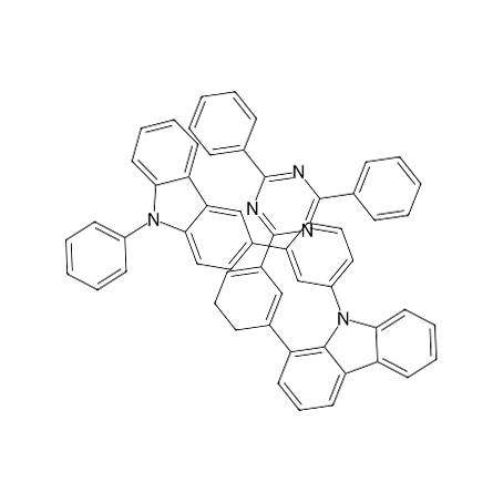 C1=C(c2nc(-c3ccccc3)nc(-c3ccccc3)n2)C=C(c2cccc3c4ccccc4n(-c4cccc(-c5ccc6c(c5)c5ccccc5n6-c5ccccc5)c4)c23)CC1